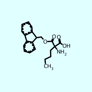 CCCCC(N)(C(=O)O)C(=O)OCC1c2ccccc2-c2ccccc21